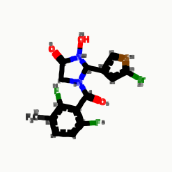 O=C1CN(C(=O)c2c(F)ccc(C(F)(F)F)c2F)C(c2csc(Br)c2)N1O